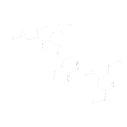 Nc1ccc2cc(S(=O)(=O)O)c(N=Nc3ccc(N=Nc4cc(C(=O)O)ccc4C(=O)O)c4ccccc34)c(O)c2c1